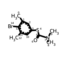 Cc1cc(SC(=O)N(C)C)cc(C)c1Br